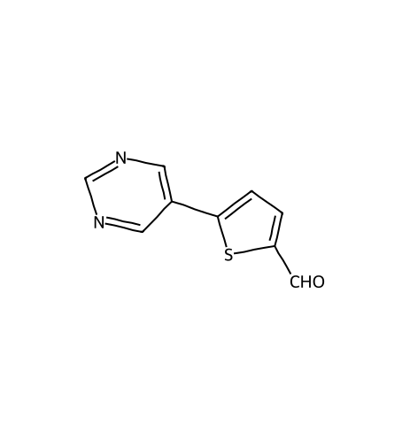 O=Cc1ccc(-c2cncnc2)s1